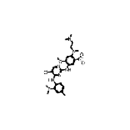 COc1cc(N(C)CCN(C)C)c([N+](=O)[O-])cc1Nc1ncc(Cl)c(Nc2ccc(C)cc2P(C)C)n1